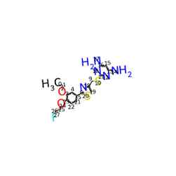 CCOc1cc(-c2nc(CSc3nc(N)cc(N)n3)cs2)ccc1OCCF